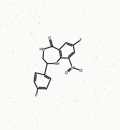 O=C1NCC(c2ccc(F)cc2)Nc2c1cc(F)cc2[N+](=O)[O-]